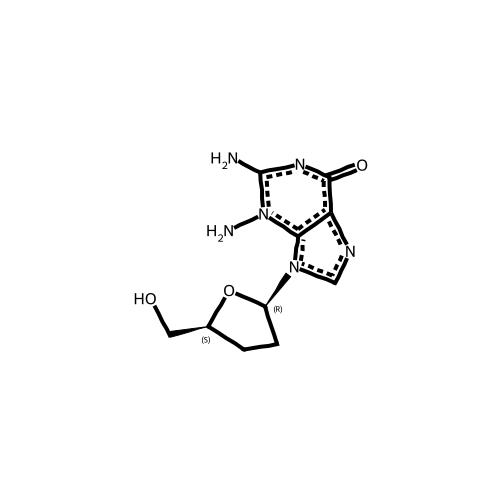 Nc1nc(=O)c2ncn([C@H]3CC[C@@H](CO)O3)c2n1N